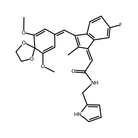 COC1=CC(=CC2=C(C)C(=CC(=O)NCc3ccc[nH]3)c3cc(F)ccc32)C=C(OC)C12OCCO2